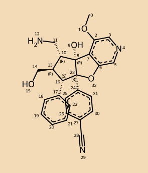 COc1cncc2c1[C@]1(O)[C@@H](CN)[C@H](CO)[C@@H](c3ccccc3)[C@]1(c1ccc(C#N)cc1)O2